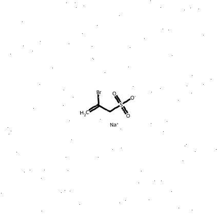 C=C(Br)CS(=O)(=O)[O-].[Na+]